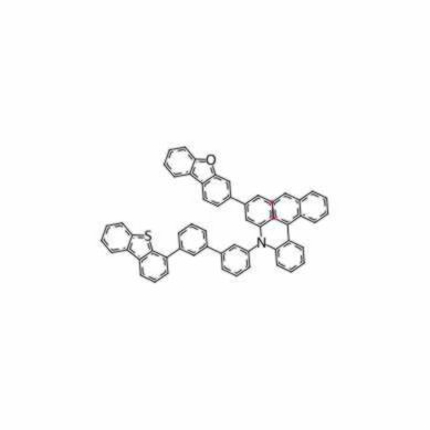 c1cc(-c2cccc(N(c3cccc(-c4ccc5c(c4)oc4ccccc45)c3)c3ccccc3-c3cccc4ccccc34)c2)cc(-c2cccc3c2sc2ccccc23)c1